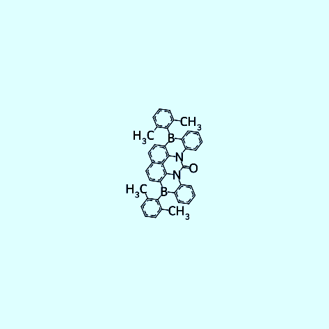 Cc1cccc(C)c1B1c2ccccc2N2C(=O)N3c4ccccc4B(c4c(C)cccc4C)c4ccc5ccc1c2c5c43